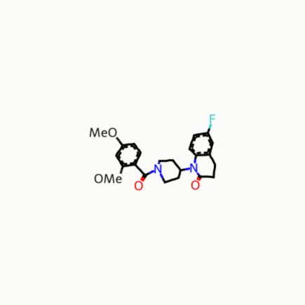 COc1ccc(C(=O)N2CCC(N3C(=O)CCc4cc(F)ccc43)CC2)c(OC)c1